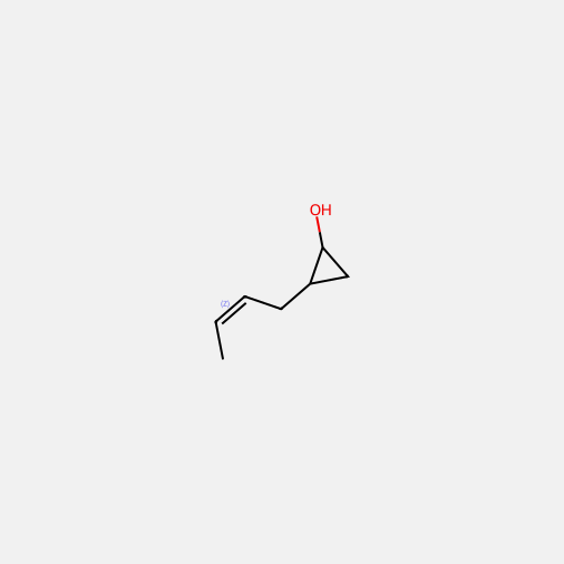 C/C=C\CC1CC1O